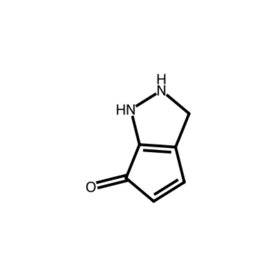 O=C1C=CC2=C1NNC2